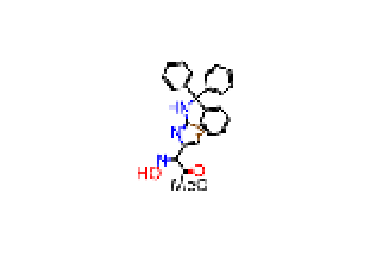 COC(=O)C(=NO)c1csc(NC(c2ccccc2)(c2ccccc2)c2ccccc2)n1